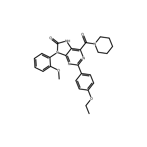 CCOc1ccc(-c2nc(C(=O)N3CCCCC3)c3[nH]c(=O)n(-c4ccccc4OC)c3n2)cc1